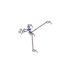 CCCCCCC1=C(c2ccc(C)cc2)[N+](=[N-])C(c2ccc(C)cc2)=C1CCCC.CCCCCCCCCCCCCCCCCCCCC[CH2][Ni][CH2]CCCCCCCCCCCCCCCCCCCCC